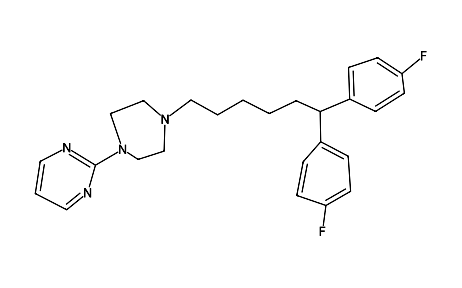 Fc1ccc(C(CCCCCN2CCN(c3ncccn3)CC2)c2ccc(F)cc2)cc1